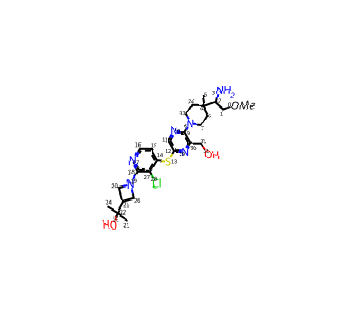 COCC(N)C1(C)CCN(c2ncc(Sc3ccnc(N4CC(C(C)(C)O)C4)c3Cl)nc2CO)CC1